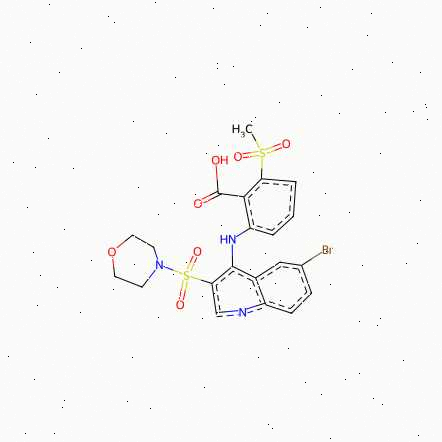 CS(=O)(=O)c1cccc(Nc2c(S(=O)(=O)N3CCOCC3)cnc3ccc(Br)cc23)c1C(=O)O